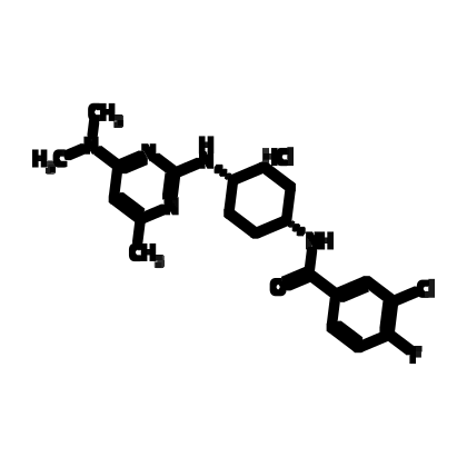 Cc1cc(N(C)C)nc(N[C@H]2CC[C@@H](NC(=O)c3ccc(F)c(Cl)c3)CC2)n1.Cl